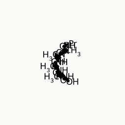 [CH2]CCNC(=O)c1cc(NC(=O)c2cc(NC(=O)c3cc(NC(=O)c4cc(NC(=O)CCO)cn4C)cn3C)cn2C)cn1C